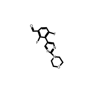 O=Cc1ccc(F)c(-c2cnc(N3CCOCC3)nc2)c1F